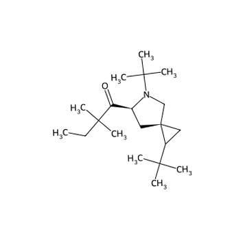 CCC(C)(C)C(=O)[C@@H]1C[C@]2(CC2C(C)(C)C)CN1C(C)(C)C